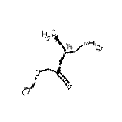 C[C@@H](N)C(=O)OCl